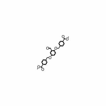 COC(=O)c1ccc(COc2ccc(OCc3ccc(C(=O)OC)cc3)c(C=O)c2)cc1